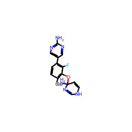 CC(C)(C)c1ccc(-c2cnc(N)nc2)c(F)c1OC1(N)C=CNC=N1